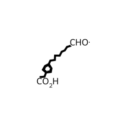 O=[C]CCCCCCCCc1ccc(CCC(=O)O)cc1